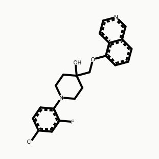 OC1(COc2cccc3cnccc23)CCN(c2ccc(Cl)cc2F)CC1